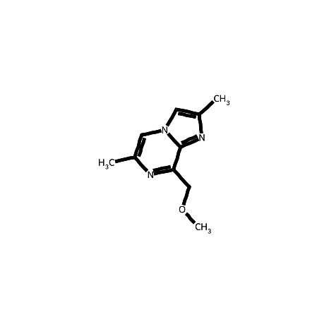 COCc1nc(C)cn2cc(C)nc12